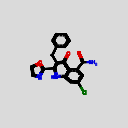 NC(=O)c1cc(Cl)cc2[nH]c(-c3ncco3)c([CH]c3ccccc3)c(=O)c12